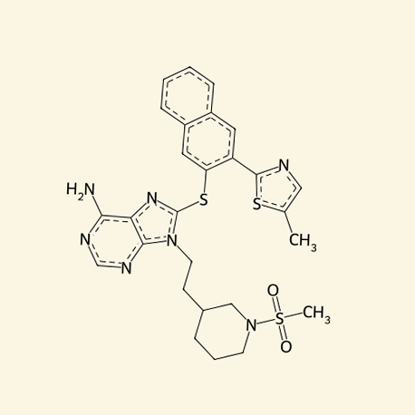 Cc1cnc(-c2cc3ccccc3cc2Sc2nc3c(N)ncnc3n2CCC2CCCN(S(C)(=O)=O)C2)s1